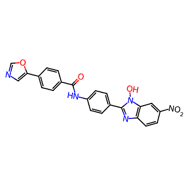 O=C(Nc1ccc(-c2nc3ccc([N+](=O)[O-])cc3n2O)cc1)c1ccc(-c2cnco2)cc1